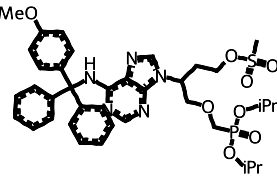 COc1ccc(C(Nc2ncnc3c2ncn3C(CCOS(C)(=O)=O)COCP(=O)(OC(C)C)OC(C)C)(c2ccccc2)c2ccccc2)cc1